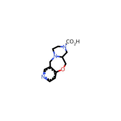 O=C(O)N1CCN2Cc3cnccc3OCC2C1